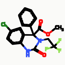 COC(=O)C1(c2ccccc2)c2cc(Cl)ccc2NC(=O)N1CC(F)(F)F